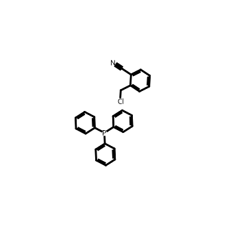 N#Cc1ccccc1CCl.c1ccc(P(c2ccccc2)c2ccccc2)cc1